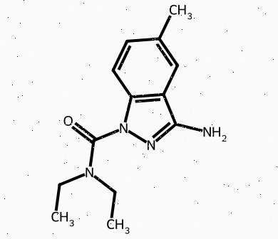 CCN(CC)C(=O)n1nc(N)c2cc(C)ccc21